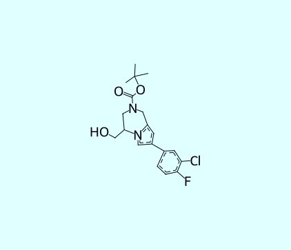 CC(C)(C)OC(=O)N1Cc2cc(-c3ccc(F)c(Cl)c3)cn2C(CO)C1